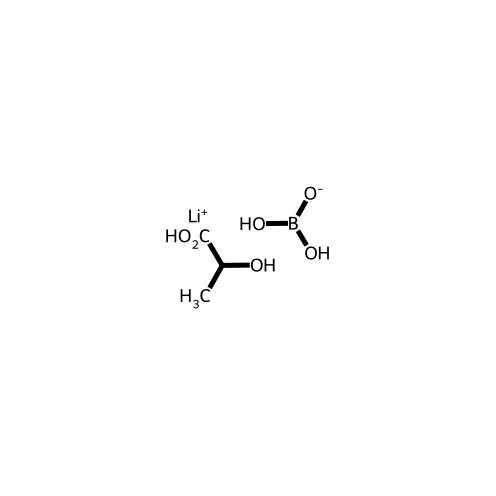 CC(O)C(=O)O.[Li+].[O-]B(O)O